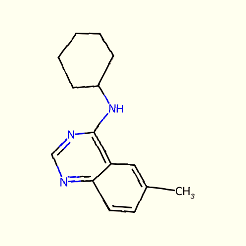 Cc1ccc2ncnc(NC3CCCCC3)c2c1